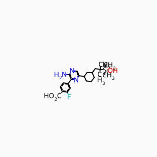 CC(C)(CC1CCCC(c2cnc(N)c(-c3ccc(C(=O)O)c(F)c3)n2)C1)[Si](C)(C)O